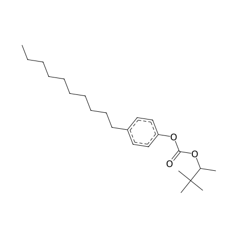 CCCCCCCCCCc1ccc(OC(=O)OC(C)C(C)(C)C)cc1